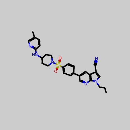 CCCn1cc(C#N)c2cc(-c3ccc(S(=O)(=O)N4CCC(Nc5ccc(C)cn5)CC4)cc3)cnc21